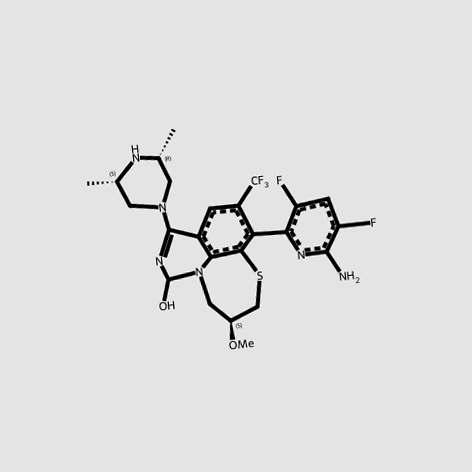 CO[C@@H]1CSc2c(-c3nc(N)c(F)cc3F)c(C(F)(F)F)cc3c2N(C1)C(O)N=C3N1C[C@@H](C)N[C@@H](C)C1